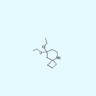 CCOC1(OCC)CCNC2(CCC2)C1